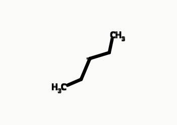 CC[CH]CC